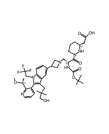 CO[C@@H](C)c1ncccc1-c1c(CC(C)(C)CO)c2cc(C3CN(C[C@H](NC(=O)OC(C)(C)C)C(=O)N4CCC[C@@H](CC(=O)O)N4)C3)ccc2n1CC(F)(F)F